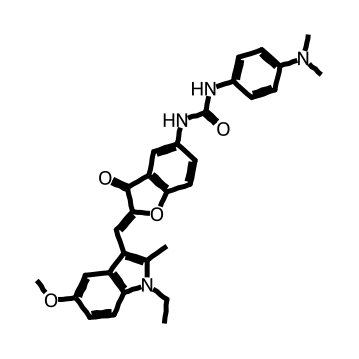 CCn1c(C)c(C=C2Oc3ccc(NC(=O)Nc4ccc(N(C)C)cc4)cc3C2=O)c2cc(OC)ccc21